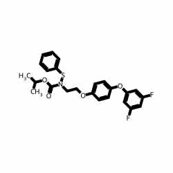 CC(C)OC(=O)N(CCOc1ccc(Oc2cc(F)cc(F)c2)cc1)Sc1ccccc1